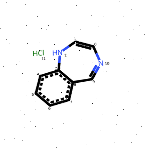 C1=CNc2ccccc2C=N1.Cl